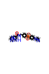 O=C(NCc1ccc(S(=O)(=O)c2ccc(-n3ccnc3)cc2)cc1)c1cnc2nccn2c1